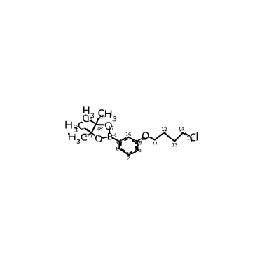 CC1(C)OB(c2cccc(OCCCCCl)c2)OC1(C)C